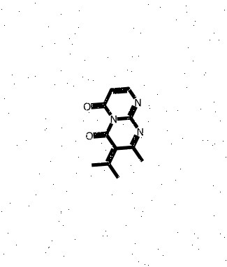 CC(C)=c1c(C)nc2nccc(=O)n2c1=O